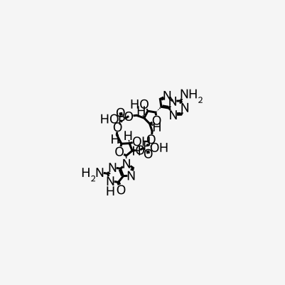 Nc1nc2c(ncn2[C@@H]2O[C@@H]3COP(=O)(O)OC[C@H]4[C@@H](O)[C@H](c5cnn6c(N)ncnc56)O[C@@H]4COP(=O)(O)O[C@@H]2[C@@H]3O)c(=O)[nH]1